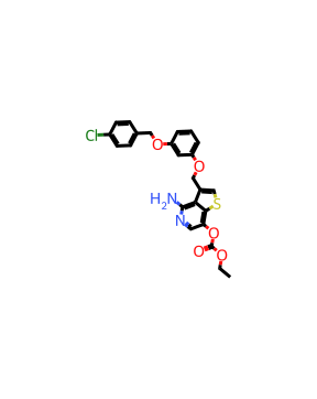 CCOC(=O)Oc1cnc(N)c2c(COc3cccc(OCc4ccc(Cl)cc4)c3)csc12